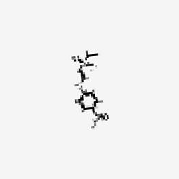 CCS(=O)(=O)C=CSc1ccc([N+](=O)[O-])cc1